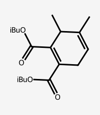 CC1=CCC(C(=O)OCC(C)C)=C(C(=O)OCC(C)C)C1C